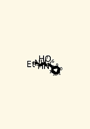 CCNCCN[C@H](CO)c1ccccc1